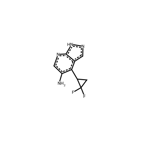 Nc1cnc2[nH]ncc2c1C1CC1(F)F